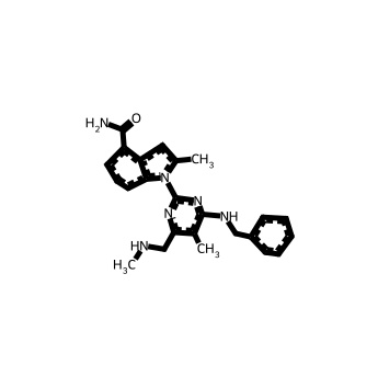 CNCc1nc(-n2c(C)cc3c(C(N)=O)cccc32)nc(NCc2ccccc2)c1C